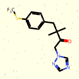 CC(C)(Cc1ccc(SC(F)(F)F)cc1)C(=O)Cn1cncn1